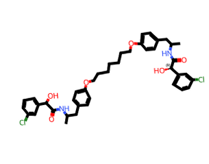 CC(Cc1ccc(OCCCCCCCOc2ccc(CC(C)NC(=O)[C@H](O)c3cccc(Cl)c3)cc2)cc1)NC(=O)C(O)c1cccc(Cl)c1